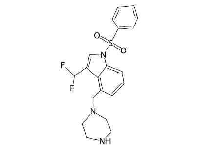 O=S(=O)(c1ccccc1)n1cc(C(F)F)c2c(CN3CCNCC3)cccc21